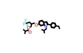 CCc1ccc(-c2cc3ccc(OCC(COC(=O)C(C)C)CC(F)(F)F)cc3n2CC(C)C)cc1